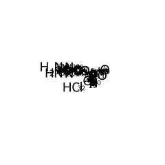 COC(=O)C[C@@H]1C[C@@H](COc2ccc(-c3ncc(C(=N)N)cn3)cc2)N(C(=O)N(C)C)C1.Cl